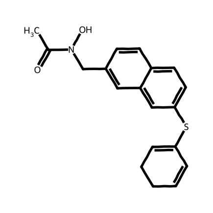 CC(=O)N(O)Cc1ccc2ccc(SC3=CCCC=C3)cc2c1